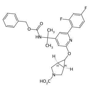 CC(C)(NC(=O)OCc1ccccc1)c1cc(OC2[C@H]3CN(C(=O)O)C[C@@H]23)nc(-c2ccc(F)cc2F)c1